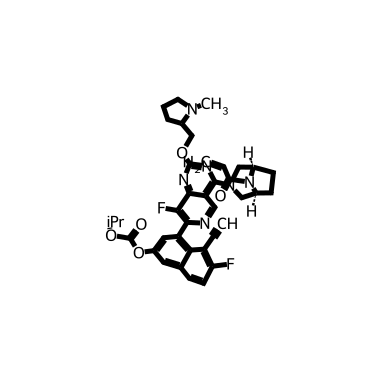 C#Cc1c(F)ccc2cc(OC(=O)OC(C)C)cc(-c3ncc4c(N5C[C@H]6CC[C@@H](C5)N6C(=O)C=C)nc(OCC5CCCN5C)nc4c3F)c12